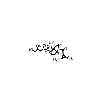 C[C@@H]1C(=O)N(C(=O)C2[C@@H](C)[C@H]2C)[C@H]2CCN(S(=O)(=O)N(C)CC(O)CO)[C@H]12